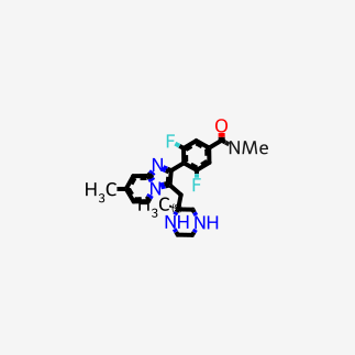 CNC(=O)c1cc(F)c(-c2nc3cc(C)ccn3c2C[C@@]2(C)CNCCN2)c(F)c1